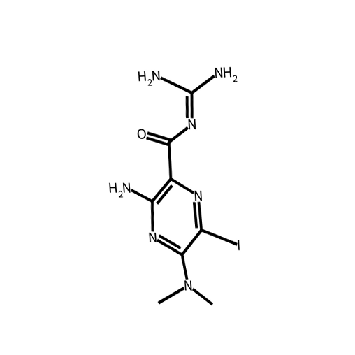 CN(C)c1nc(N)c(C(=O)N=C(N)N)nc1I